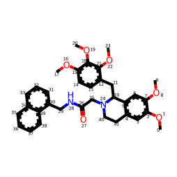 COc1cc2c(cc1OC)C(Cc1ccc(OC)c(OC)c1OC)N(CC(=O)NCc1cccc3ccccc13)CC2